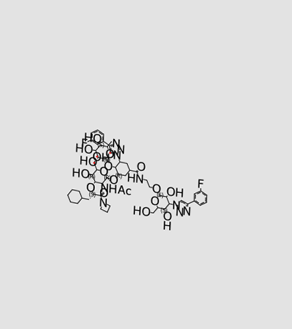 CC(=O)NC1C(O[C@@H](CC2CCCCC2)C(=O)N2CCC2)[C@@H](O)C(CO)O[C@H]1O[C@@H]1CC(C(=O)NCCO[C@H]2OC(CO)[C@@H](O)C(n3cc(-c4cccc(F)c4)nn3)C2O)CC(n2cc(-c3cccc(F)c3)nn2)C1O[C@@H]1OC(C)[C@@H](O)C(O)C1O